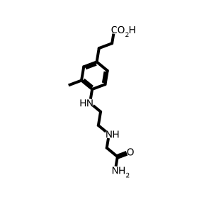 Cc1cc(CCC(=O)O)ccc1NCCNCC(N)=O